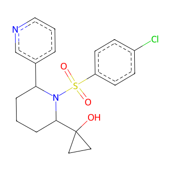 O=S(=O)(c1ccc(Cl)cc1)N1C(c2cccnc2)CCCC1C1(O)CC1